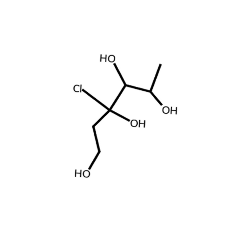 CC(O)C(O)C(O)(Cl)CCO